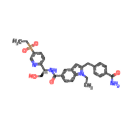 CCn1c(Cc2ccc(C(N)=O)cc2)cc2cc(C(=O)N[C@@H](CO)c3ccc(S(=O)(=O)CC)cn3)ccc21